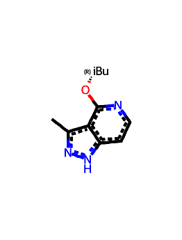 CC[C@@H](C)Oc1nccc2[nH]nc(C)c12